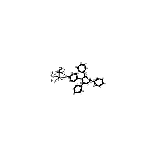 CC1(C)OB(c2ccc(-c3c(-c4ccccc4)cc(-c4ccccc4)cc3-c3ccccc3)cc2)OC1(C)C